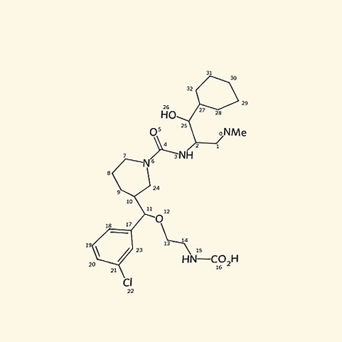 CNCC(NC(=O)N1CCCC(C(OCCNC(=O)O)c2cccc(Cl)c2)C1)C(O)C1CCCCC1